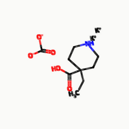 CCC1(C(=O)O)CCNCC1.O=C([O-])[O-].[K+].[K+]